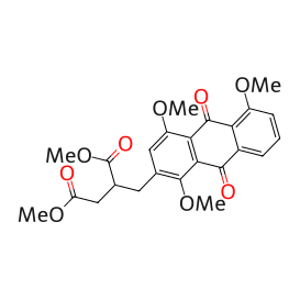 COC(=O)CC(Cc1cc(OC)c2c(c1OC)C(=O)c1cccc(OC)c1C2=O)C(=O)OC